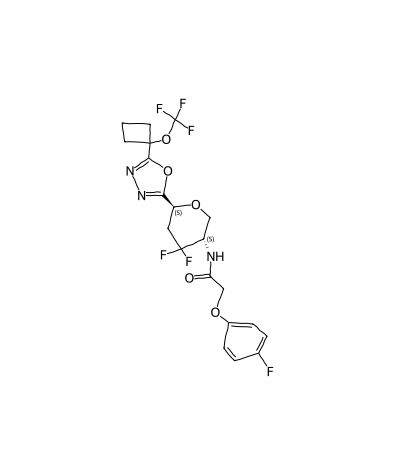 O=C(COc1ccc(F)cc1)N[C@H]1CO[C@H](c2nnc(C3(OC(F)(F)F)CCC3)o2)CC1(F)F